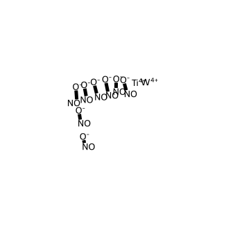 O=N[O-].O=N[O-].O=N[O-].O=N[O-].O=N[O-].O=N[O-].O=N[O-].O=N[O-].[Ti+4].[W+4]